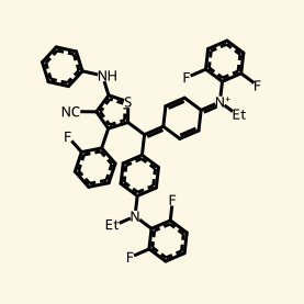 CCN(c1ccc(C(=C2C=CC(=[N+](CC)c3c(F)cccc3F)C=C2)c2sc(Nc3ccccc3)c(C#N)c2-c2ccccc2F)cc1)c1c(F)cccc1F